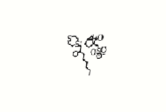 CC1(C)C2CCC1(CS(=O)(=O)[O-])C(=O)C2.CCCCCCC(=O)C[S+]1CCSCC1